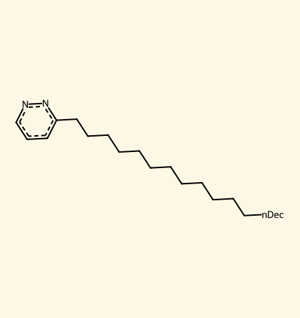 CCCCCCCCCCCCCCCCCCCCCCc1cccnn1